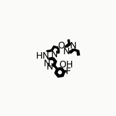 C=Cc1cnc(OC2CC3CNc4nnc(-c5cccc(F)c5O)cc4N3C2)c(C)n1